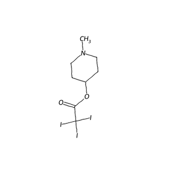 CN1CCC(OC(=O)C(I)(I)I)CC1